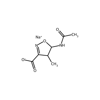 CC(=O)NC1ON=C(C(=O)[O-])C1C.[Na+]